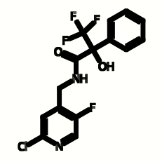 O=C(NCc1cc(Cl)ncc1F)C(O)(c1ccccc1)C(F)(F)F